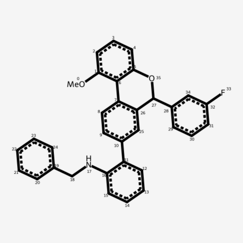 COc1cccc2c1-c1ccc(-c3ccccc3NCc3ccccc3)cc1C(c1cccc(F)c1)O2